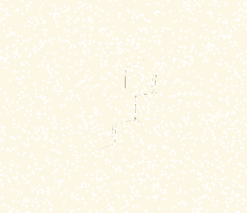 CC/C=C/C(=O)c1ccccn1